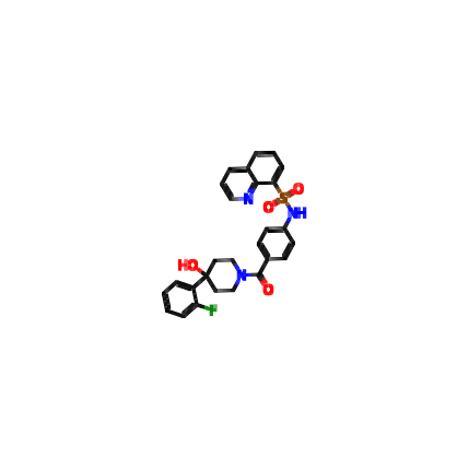 O=C(c1ccc(NS(=O)(=O)c2cccc3cccnc23)cc1)N1CCC(O)(c2ccccc2F)CC1